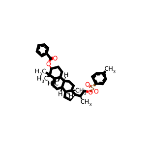 Cc1ccc(S(=O)(=O)OC[C@@H](C)[C@H]2CC[C@H]3[C@@H]4CC=C5C(C)(C)[C@@H](OC(=O)c6ccccc6)CC[C@]5(C)[C@H]4CC[C@]23C)cc1